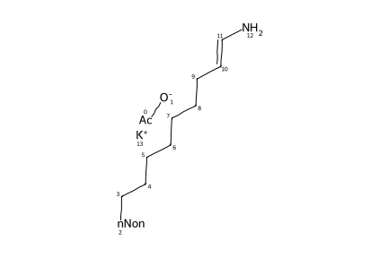 CC(=O)[O-].CCCCCCCCCCCCCCCCC=CN.[K+]